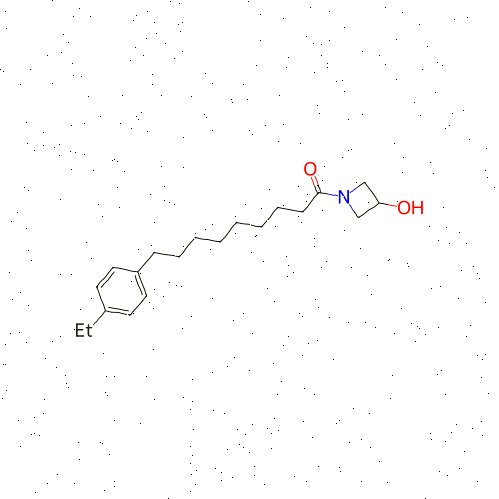 CCc1ccc(CCCCCCCCC(=O)N2CC(O)C2)cc1